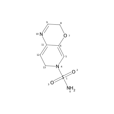 NS(=O)(=O)N1C=C2OCC=NC2=CC1